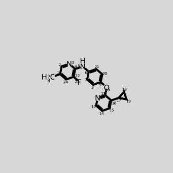 Cc1cnc(Nc2ccc(Oc3ncccc3C3CC3)cc2)c(F)c1